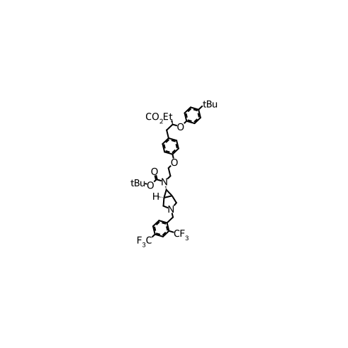 CCOC(=O)[C@H](Cc1ccc(OCCN(C(=O)OC(C)(C)C)[C@@H]2C3CN(Cc4ccc(C(F)(F)F)cc4C(F)(F)F)C[C@H]32)cc1)Oc1ccc(C(C)(C)C)cc1